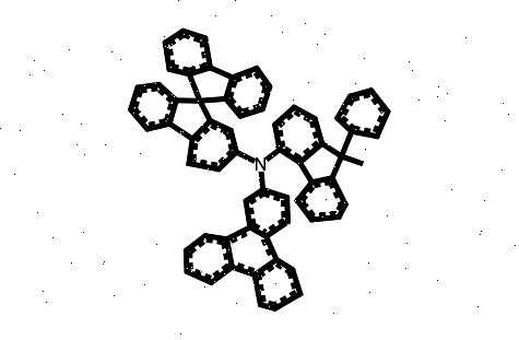 CC1(c2ccccc2)c2ccccc2-c2c(N(c3ccc4c(c3)C3(c5ccccc5-c5ccccc53)c3ccccc3-4)c3ccc4c5ccccc5c5ccccc5c4c3)cccc21